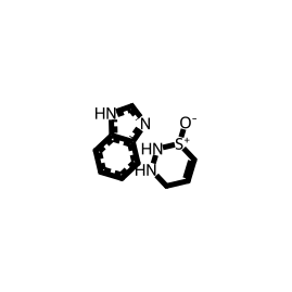 [O-][S+]1C=CCNN1.c1ccc2[nH]cnc2c1